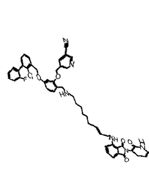 N#Cc1cncc(COc2cc(OCc3cccc(-c4ccccc4F)c3Cl)ccc2CNCCCCCCCCNc2cccc3c2C(=O)N(C2CCC(=O)NC2=O)C3=O)c1